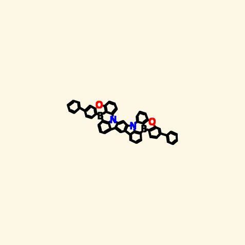 c1ccc(-c2ccc3c(c2)Oc2cccc4c2B3c2cccc3c5cc6c7cccc8c7n(c6cc5n-4c23)-c2cccc3c2B8c2ccc(-c4ccccc4)cc2O3)cc1